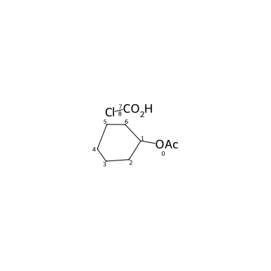 CC(=O)OC1CCCCC1.O=C(O)Cl